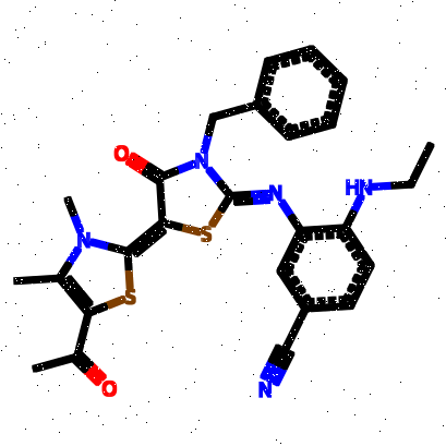 CCNc1ccc(C#N)cc1/N=C1\S/C(=C2\SC(C(C)=O)=C(C)N2C)C(=O)N1Cc1ccccc1